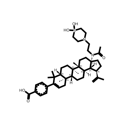 C=C(C)[C@@H]1CC[C@]2(N(CCN3CCS(O)(O)CC3)C(C)=O)CC[C@]3(C)[C@H](CC[C@@H]4[C@@]5(C)CC=C(c6ccc(C(=O)O)cc6)C(C)(C)[C@@H]5CC[C@]43C)[C@@H]12